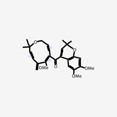 C=C1/C=C\C(C)(C)OC/C=C\C(C(=O)C2=CC(C)(C)Oc3cc(OC)c(OC)cc32)=C/1OC